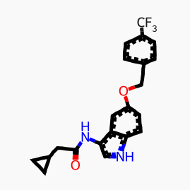 O=C(CC1CC1)Nc1c[nH]c2ccc(OCc3ccc(C(F)(F)F)cc3)cc12